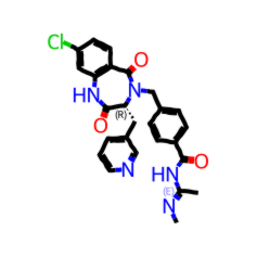 C/N=C(\C)NC(=O)c1ccc(CN2C(=O)c3ccc(Cl)cc3NC(=O)[C@H]2Cc2cccnc2)cc1